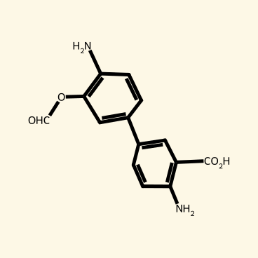 Nc1ccc(-c2ccc(N)c(C(=O)O)c2)cc1OC=O